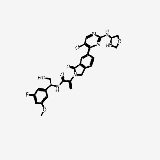 C=C(C(=O)N[C@H](CO)c1cc(F)cc(OC)c1)N1Cc2ccc(-c3nc(NC4COCN4)ncc3Cl)cc2C1=O